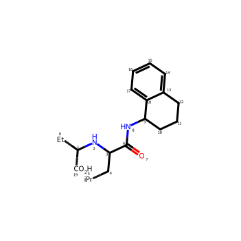 CCC(NC(CC(C)C)C(=O)NC1CCCc2ccccc21)C(=O)O